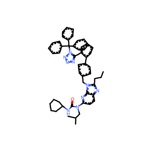 CCCc1nc2ccc(N(CC(C)C)C(=O)NC3CCCCC3)nc2n1Cc1ccc(-c2ccccc2-c2nnnn2C(c2ccccc2)(c2ccccc2)c2ccccc2)cc1